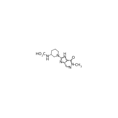 Cn1ncc2nc(N3CCCC(NC(=O)O)C3)[nH]c2c1=O